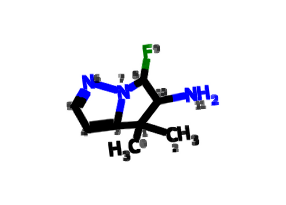 CC1(C)c2ccnn2C(F)C1N